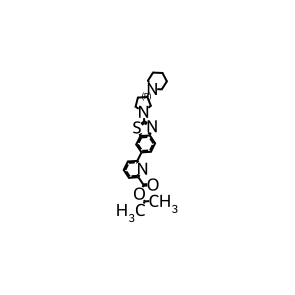 CC(C)OC(=O)c1cccc(-c2ccc3nc(N4CC[C@@H](N5CCCCC5)C4)sc3c2)n1